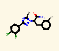 CCc1nc(-c2ccc(Cl)c(F)c2)nn1C(Cc1cccc(C#N)c1)C(N)=O